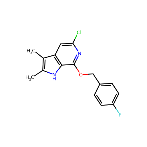 Cc1[nH]c2c(OCc3ccc(F)cc3)nc(Cl)cc2c1C